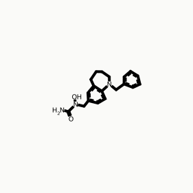 NC(=O)N(O)Cc1ccc2c(c1)CCCCN2Cc1ccccc1